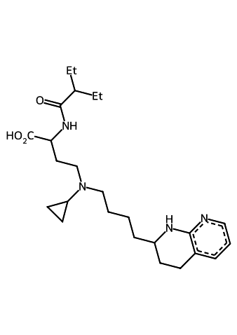 CCC(CC)C(=O)NC(CCN(CCCCC1CCc2cccnc2N1)C1CC1)C(=O)O